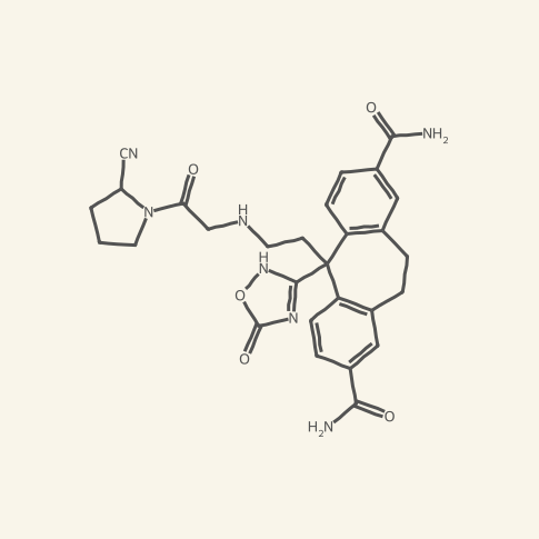 N#CC1CCCN1C(=O)CNCCC1(c2nc(=O)o[nH]2)c2ccc(C(N)=O)cc2CCc2cc(C(N)=O)ccc21